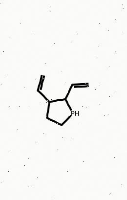 C=CC1CCPC1C=C